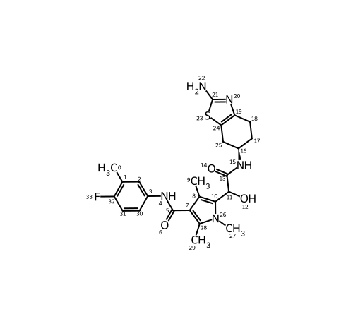 Cc1cc(NC(=O)c2c(C)c(C(O)C(=O)N[C@@H]3CCc4nc(N)sc4C3)n(C)c2C)ccc1F